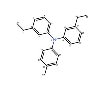 CCc1cccc(N(c2ccc(C)cc2)c2cccc(CC)c2)c1